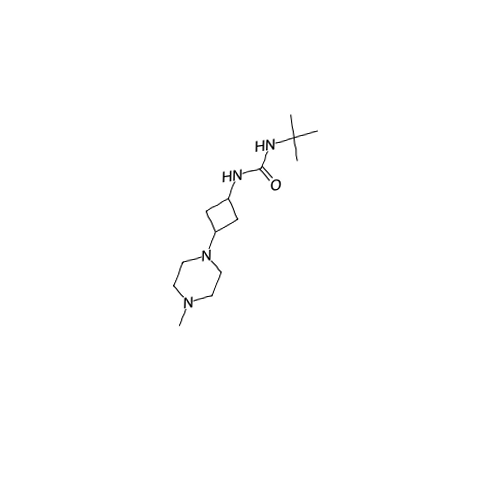 CN1CCN(C2CC(NC(=O)NC(C)(C)C)C2)CC1